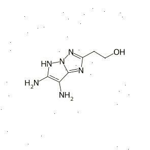 Nc1[nH]n2nc(CCO)nc2c1N